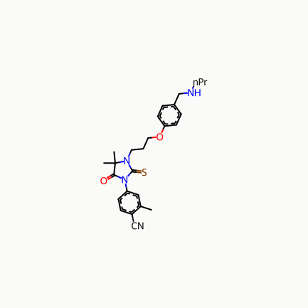 CCCNCc1ccc(OCCCN2C(=S)N(c3ccc(C#N)c(C)c3)C(=O)C2(C)C)cc1